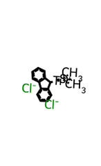 C[Si](C)=[Ti+2][CH]1c2ccccc2-c2ccccc21.[Cl-].[Cl-]